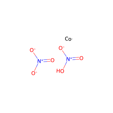 O=[N+]([O-])O.O=[N+]([O-])[O-].[Co]